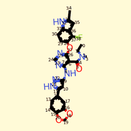 CCN(C)C(=O)c1c(Nc2cc(-c3ccc4c(c3)OCO4)[nH]n2)ncnc1Oc1ccc2[nH]c(C)cc2c1F